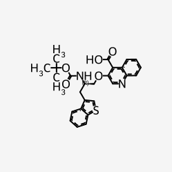 CC(C)(C)OC(=O)N[C@@H](COc1cnc2ccccc2c1C(=O)O)Cc1csc2ccccc12